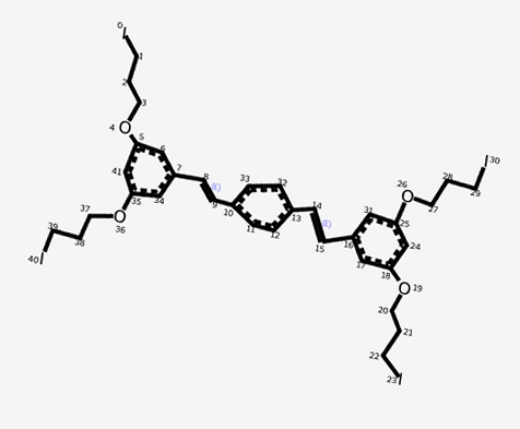 ICCCOc1cc(/C=C/c2ccc(/C=C/c3cc(OCCCI)cc(OCCCI)c3)cc2)cc(OCCCI)c1